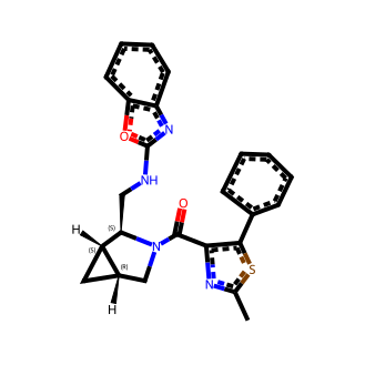 Cc1nc(C(=O)N2C[C@@H]3C[C@@H]3[C@H]2CNc2nc3ccccc3o2)c(-c2ccccc2)s1